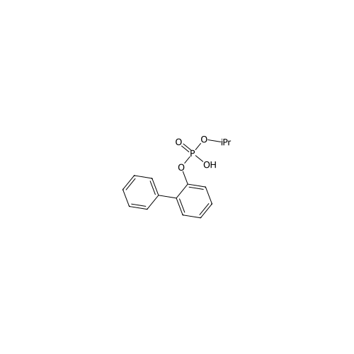 CC(C)OP(=O)(O)Oc1ccccc1-c1ccccc1